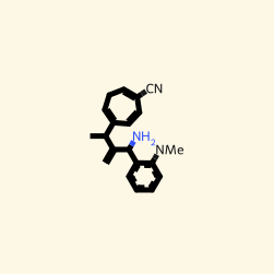 C=C(C(C)C1=CCC=C(C#N)C=C1)C(N)c1ccccc1NC